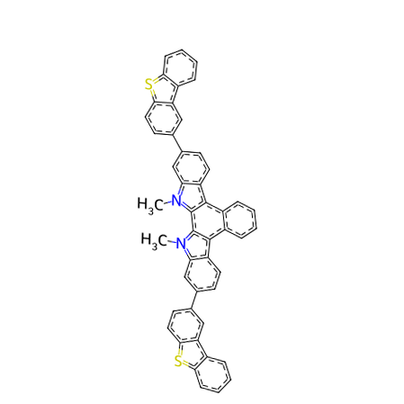 Cn1c2cc(-c3ccc4sc5ccccc5c4c3)ccc2c2c3ccccc3c3c4ccc(-c5ccc6sc7ccccc7c6c5)cc4n(C)c3c21